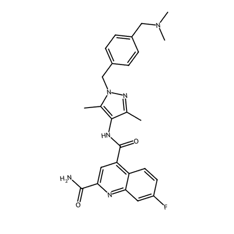 Cc1nn(Cc2ccc(CN(C)C)cc2)c(C)c1NC(=O)c1cc(C(N)=O)nc2cc(F)ccc12